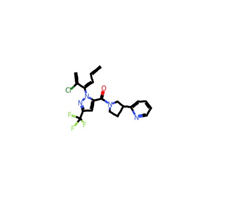 C=C/C=C(\C(=C)Cl)n1nc(C(F)(F)F)cc1C(=O)N1CCC(c2ccccn2)C1